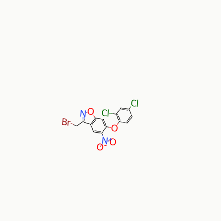 O=[N+]([O-])c1cc2c(CBr)noc2cc1Oc1ccc(Cl)cc1Cl